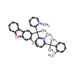 Cc1ccccc1C(C)(C)c1cccc(C(C)(c2cc3c(cc2C)oc2ccccc23)c2cccc[n+]2C)[n+]1C